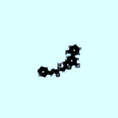 O=C(C=Cc1cccnc1)NCC1Cc2cc(-c3ccccc3F)cc(Cl)c2O1